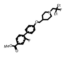 CCC(F)(CC)CN1CCC(COc2ccc(-c3ccc(C(=O)OC)cc3F)cc2)CC1